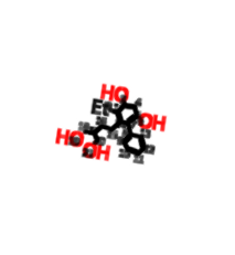 CCc1c(O)cc(O)c(-c2ccccc2)c1CCC(CO)CO